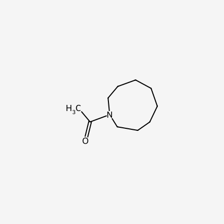 CC(=O)N1CCCCCCCC1